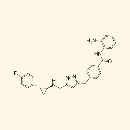 Nc1ccccc1NC(=O)c1ccc(Cn2cc(CN[C@H]3C[C@@H]3c3ccc(F)cc3)nn2)cc1